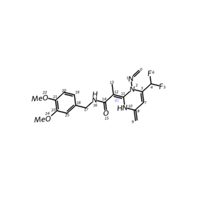 C=NN1C(C(F)F)=CC(=C)N/C1=C(/C)C(=O)NCc1ccc(OC)c(OC)c1